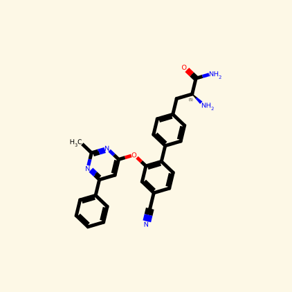 Cc1nc(Oc2cc(C#N)ccc2-c2ccc(C[C@H](N)C(N)=O)cc2)cc(-c2ccccc2)n1